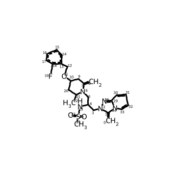 C=C1N(CC(CN2C(=C)CC(OCc3ccccc3F)CC2C)NS(C)(=O)=O)N=C2C=CC=CN12